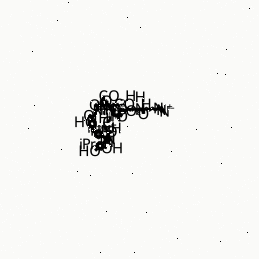 CCNC(=O)c1nnc(-c2cc(C(C)C)c(O)cc2O)n1-c1ccc(CN2CCN(C(=O)CCNC(=O)[C@@H](CCC(=O)O)NC(=O)[C@@H](CCC(=O)O)NC(=O)[C@@H](CCC(=O)O)NC(=O)COCCOCCNC(=O)CCCCN=[N+]=[N-])CC2)cc1